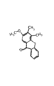 COc1cc2c(=O)c3ccccc3sc2c(C)c1C